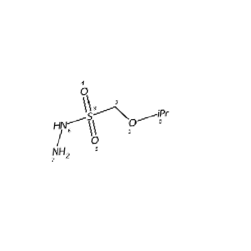 CC(C)OCS(=O)(=O)NN